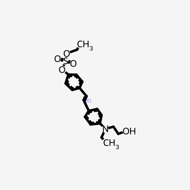 CCOS(=O)(=O)Oc1ccc(/C=C/c2ccc(N(CC)CCO)cc2)cc1